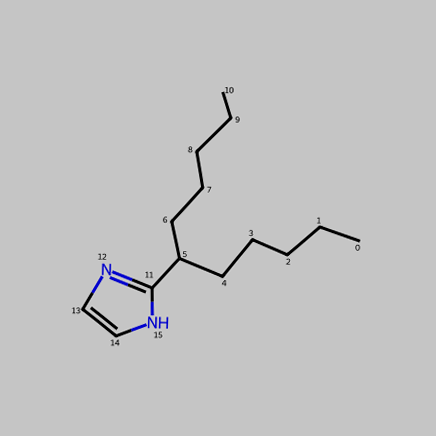 CCCCCC(CCCCC)c1ncc[nH]1